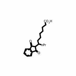 CCCC(CCCCCCC(=O)O)C1C(=O)c2ccccc2C1=O